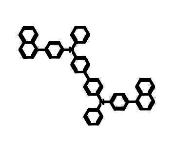 C1=CC(N(c2ccc(-c3ccc(N(c4ccccc4)c4ccc(-c5cccc6ccccc56)cc4)cc3)cc2)c2ccc(-c3cccc4ccccc34)cc2)=CCC1